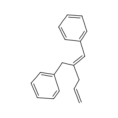 C=CCC(=Cc1ccccc1)Cc1ccccc1